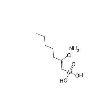 CCCCCC(Cl)=C[As](=O)(O)O.N